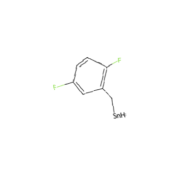 Fc1ccc(F)c([CH2][SnH])c1